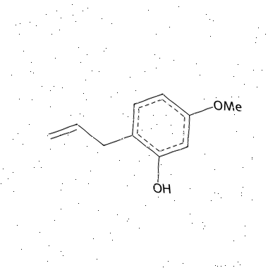 C=CCc1ccc(OC)cc1O